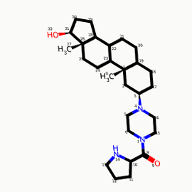 C[C@]12C[C@H](N3CCN(C(=O)C4CCCN4)CC3)CCC1CCC1C2CC[C@@]2(C)C1CC[C@@H]2O